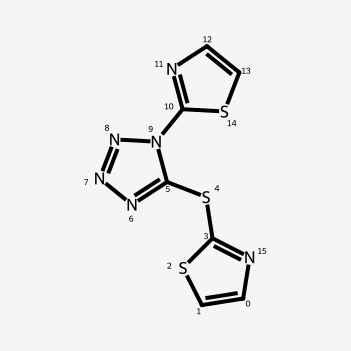 c1csc(Sc2nnnn2-c2nccs2)n1